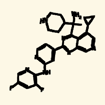 CC(N)(c1nc(-c2ccnc(Nc3ncc(F)cc3F)c2)nc2cncc(C3CC3)c12)C1CCNCC1